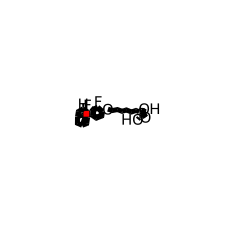 O=P(O)(O)CCCCCCOc1ccc([C@]23CC4CC(C[C@H](C4)C2)C3)c(F)c1F